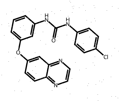 O=C(Nc1ccc(Cl)cc1)Nc1cccc(Oc2ccc3nccnc3c2)c1